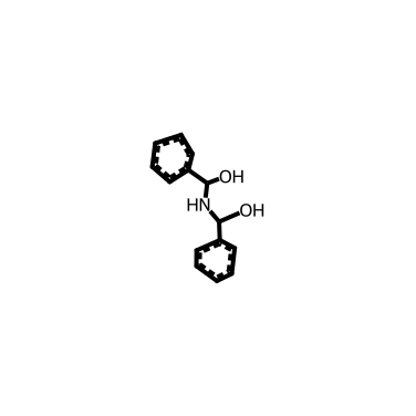 OC(NC(O)c1ccccc1)c1ccccc1